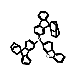 c1ccc2c(c1)-c1cc(N(c3ccc4c(c3)C3(c5ccccc5-4)C4CC5CC(C4)CC3C5)c3ccc4c(c3)oc3ccccc34)ccc1C21CC2CCC1C2